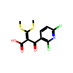 CSC(SC)=C(C(=O)O)C(=O)c1ccc(Cl)nc1Cl